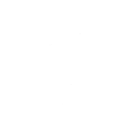 COCCNc1cc(C)cc(C2Oc3cccc(OC)c3-c3ccc4c(c32)C(C)=CC(C)(C)N4)c1